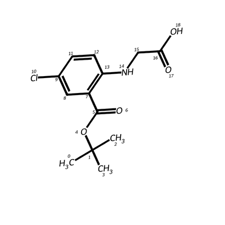 CC(C)(C)OC(=O)c1cc(Cl)ccc1NCC(=O)O